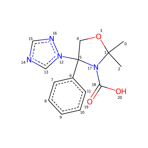 CC1(C)OCC(c2ccccc2)(n2cncn2)N1C(=O)O